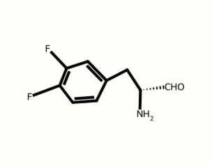 N[C@@H](C=O)Cc1ccc(F)c(F)c1